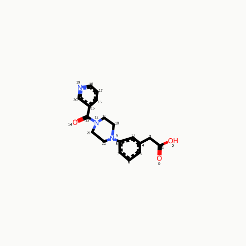 O=C(O)Cc1cccc(N2CCN(C(=O)c3cccnc3)CC2)c1